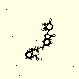 O=C1CCC(N2Cc3cc(CNC(=O)Nc4ccccc4CO)ccc3C2=O)C(=O)N1